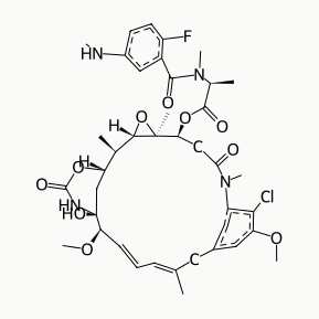 CNc1ccc(F)c(C(=O)N(C)[C@@H](C)C(=O)O[C@H]2CC(=O)N(C)c3cc(cc(OC)c3Cl)C/C(C)=C/C=C/[C@@H](OC)[C@@]3(O)C[C@H](OC(=O)N3)[C@@H](C)[C@@H]3O[C@@]23C)c1